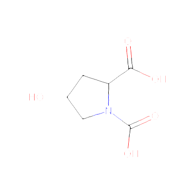 O=C(O)C1C[C@@H](O)CN1C(=O)O